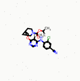 Cc1c(Nc2ccc(C#N)cc2Cl)ncnc1OCC12CCN(C(=O)OC(C)C)CC1C2